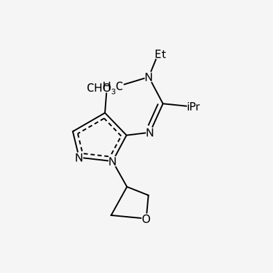 CCN(C)/C(=N\c1c(C=O)cnn1C1COC1)C(C)C